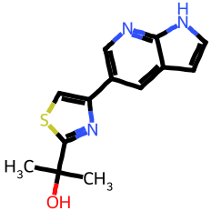 CC(C)(O)c1nc(-c2cnc3[nH]ccc3c2)cs1